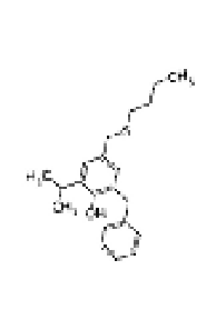 CCCCSCc1cc(Cc2ccccc2)c(O)c(C(C)C)c1